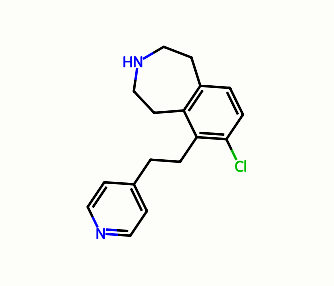 Clc1ccc2c(c1CCc1ccncc1)CCNCC2